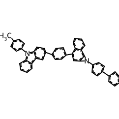 Cc1ccc(-n2c3ccccc3c3cc(-c4ccc(-c5cc6c(c7ccccc57)N6c5ccc(-c6ccccc6)cc5)cc4)ccc32)cc1